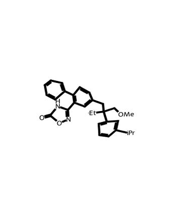 C[CH]C(COC)(Cc1ccc(-c2ccccc2)c(-c2noc(=O)[nH]2)c1)c1cccc(C(C)C)c1